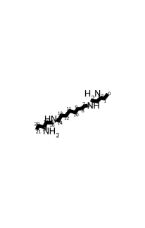 CCC(N)CCNCCCCCCCCNCCC(N)CC